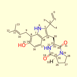 C=CC(C)(C)c1[nH]c2c(CC=C(C)C)c(O)ccc2c1C[C@@H]1NC(=O)[C@@H]2CCCN2C1=O